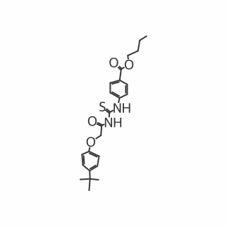 CCCCOC(=O)c1ccc(NC(=S)NC(=O)COc2ccc(C(C)(C)C)cc2)cc1